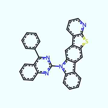 c1ccc(-c2nc(-n3c4ccccc4c4cc5sc6ncccc6c5cc43)nc3ccccc23)cc1